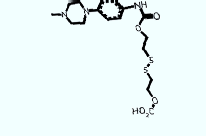 CN1CCN(c2ccc(NC(=O)OCCSSCCOC(=O)O)cc2)CC1